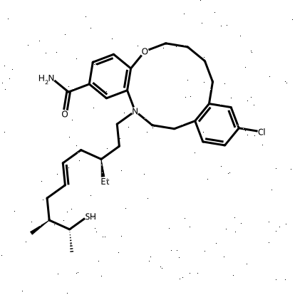 CC[C@@H](C/C=C/C[C@H](C)[C@@H](C)S)CCN1CCc2ccc(Cl)cc2CCCCOc2ccc(C(N)=O)cc21